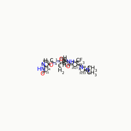 C=C1/C(=C\C=C(/C)Oc2ccnc3c2CCC(=O)N3)O[C@@H]2[C@@H](NC(=O)c3ccc(CN4CCC[C@H](N(C)C)C4)c(C(F)(F)F)c3)[C@H]12